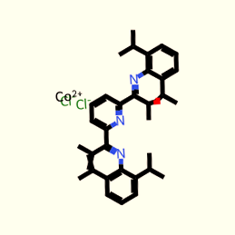 CC(C)C(=Nc1c(C(C)C)cccc1C(C)C)c1cccc(C(=Nc2c(C(C)C)cccc2C(C)C)C(C)C)n1.[Cl-].[Cl-].[Co+2]